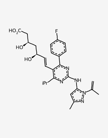 C=C(C)n1nc(C)cc1Nc1nc(-c2ccc(F)cc2)c(/C=C/[C@@H](O)C[C@@H](O)CC(=O)O)c(C(C)C)n1